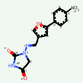 O=C1CN(N=Cc2coc(-c3ccc([N+](=O)[O-])cc3)c2)C(=O)N1